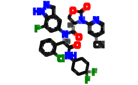 N#Cc1ccnc(N2C(=O)OC[C@H]2C(=O)N(c2cc(F)c3[nH]ncc3c2)[C@H](C(=O)NC2CCC(F)(F)CC2)c2ccccc2Cl)c1